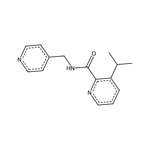 CC(C)c1cccnc1C(=O)NCc1ccncc1